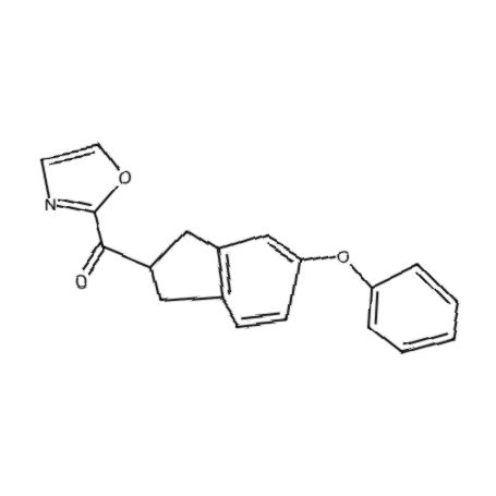 O=C(c1ncco1)C1Cc2ccc(Oc3ccccc3)cc2C1